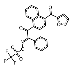 O=C(/C(=N/OS(=O)(=O)C(F)(F)F)c1ccccc1)c1ccc(C(=O)c2ccco2)c2ccccc12